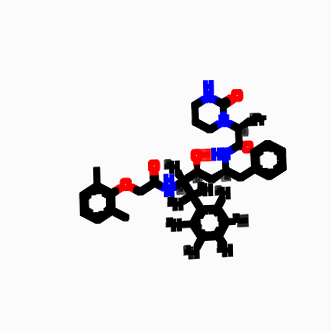 [2H]c1c([2H])c([2H])c(C([2H])([2H])[C@]([2H])(NC(=O)COc2c(C)cccc2C)[C@@H](O)C[C@H](Cc2ccccc2)NC(=O)[C@H](C(C)C)N2CCCNC2=O)c([2H])c1[2H]